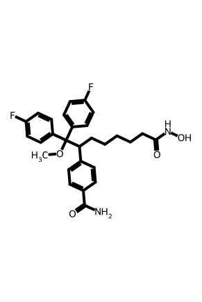 COC(c1ccc(F)cc1)(c1ccc(F)cc1)C(CCCCCC(=O)NO)c1ccc(C(N)=O)cc1